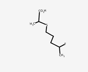 CC(F)CCCSC(C)C(=O)O